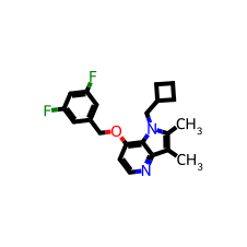 Cc1c(C)n(CC2CCC2)c2c(OCc3cc(F)cc(F)c3)ccnc12